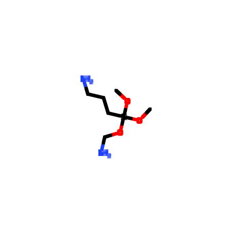 CO[Si](CCCN)(OC)OCN